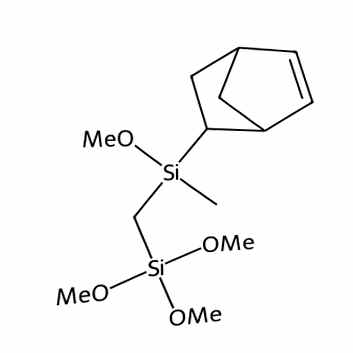 CO[Si](C[Si](C)(OC)C1CC2C=CC1C2)(OC)OC